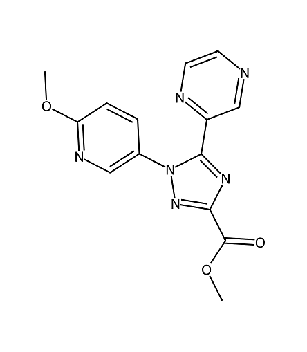 COC(=O)c1nc(-c2cnccn2)n(-c2ccc(OC)nc2)n1